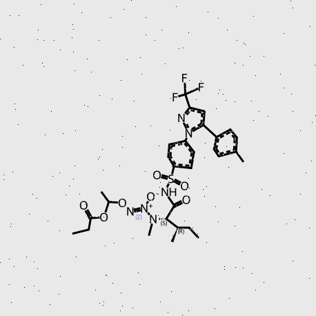 CCC(=O)OC(C)O/N=[N+](\[O-])N(C)[C@H](C(=O)NS(=O)(=O)c1ccc(-n2nc(C(F)(F)F)cc2-c2ccc(C)cc2)cc1)[C@H](C)CC